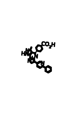 Cc1n[nH]c2c1c([C@H]1CC[C@H](C(=O)O)CC1)nc1c(-c3ccc(-c4ccccc4)nc3)cnn12